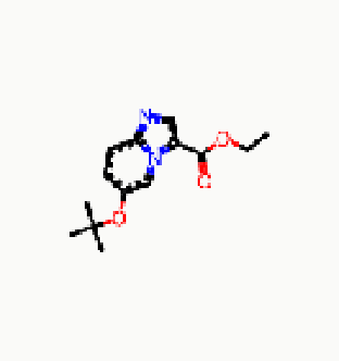 CCOC(=O)c1cnc2ccc(OC(C)(C)C)cn12